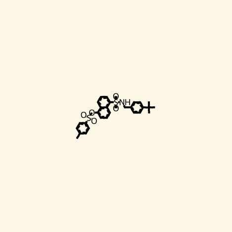 Cc1ccc(S(=O)(=O)Oc2cccc3c(S(=O)(=O)NCc4ccc(C(C)(C)C)cc4)cccc23)cc1